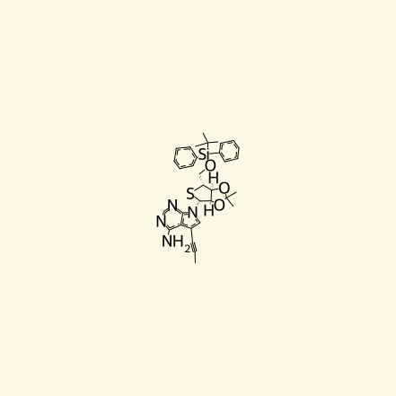 CC#Cc1cn([C@@H]2S[C@H](CO[Si](c3ccccc3)(c3ccccc3)C(C)(C)C)[C@H]3OC(C)(C)O[C@H]32)c2ncnc(N)c12